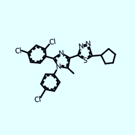 Cc1c(-c2nnc(C3CCCC3)s2)nc(-c2ccc(Cl)cc2Cl)n1-c1ccc(Cl)cc1